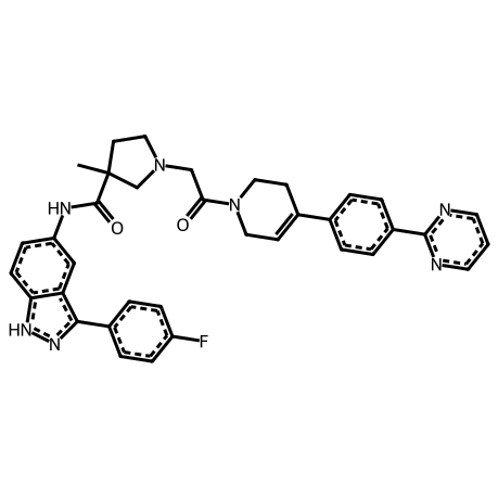 CC1(C(=O)Nc2ccc3[nH]nc(-c4ccc(F)cc4)c3c2)CCN(CC(=O)N2CC=C(c3ccc(-c4ncccn4)cc3)CC2)C1